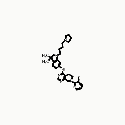 CC1(C)CN(CCCCN2CCCC2)c2cc(Nc3ncnc4c3CCN(c3ncccc3F)C4)ccc21